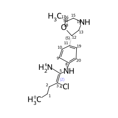 CCC/C(Cl)=C(\N)Nc1ccc([C@H]2CNC[C@@H](C)O2)cc1